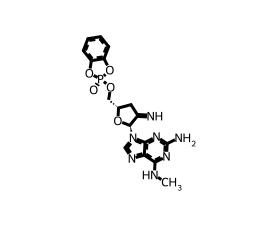 CNc1nc(N)nc2c1ncn2[C@@H]1O[C@H](COP2(=O)Oc3ccccc3O2)CC1=N